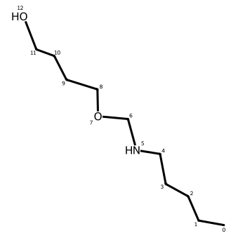 CCCCCNCOCCCCO